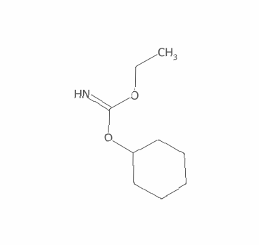 CCOC(=N)OC1CCCCC1